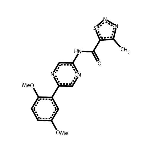 COc1ccc(OC)c(-c2cnc(NC(=O)c3snnc3C)cn2)c1